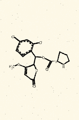 COC1=CC(=O)OC1C(OC(=O)[C@@H]1CCCN1)c1ccc(Cl)cc1Cl